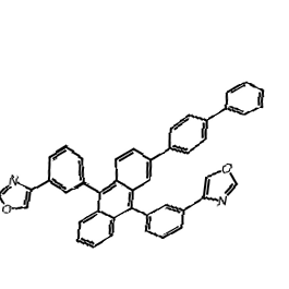 c1ccc(-c2ccc(-c3ccc4c(-c5cccc(-c6cocn6)c5)c5ccccc5c(-c5cccc(-c6cocn6)c5)c4c3)cc2)cc1